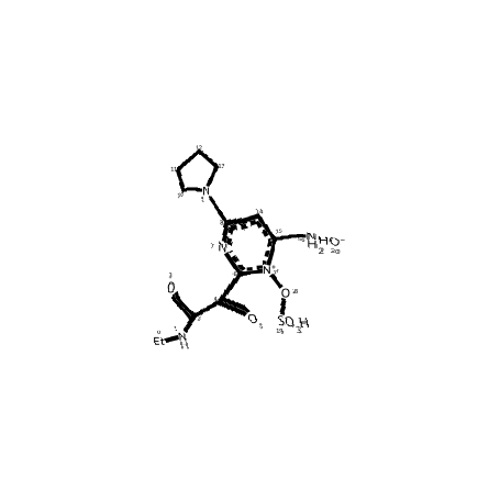 CCNC(=O)C(=O)c1nc(N2CCCC2)cc(N)[n+]1OS(=O)(=O)O.[OH-]